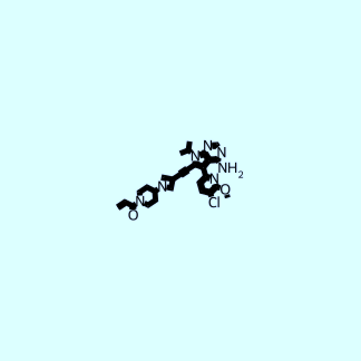 C=CC(=O)N1CCC(N2CC(C#Cc3c(-c4ccc(Cl)c(OC)n4)c4c(N)ncnc4n3C(C)C)C2)CC1